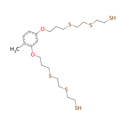 Cc1ccc(OCCCSCCSCCS)cc1OCCCSCCSCCS